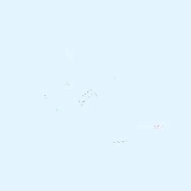 O=C1CNC(c2cccc(O)c2)=NN1CC(F)(F)F